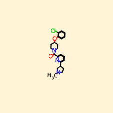 CN1CCC(c2cccc(C(=O)N3CCC(Oc4ccccc4Cl)CC3)n2)C1